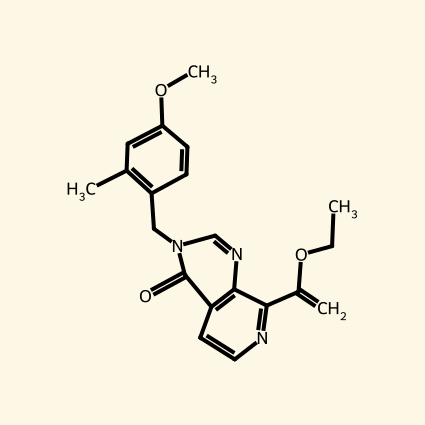 C=C(OCC)c1nccc2c(=O)n(Cc3ccc(OC)cc3C)cnc12